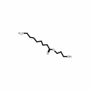 CCCCCCCCC(=O)OCCCO